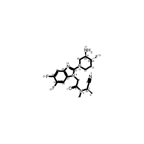 C[C@H](C#N)N(C)C(=O)Cn1c(N2CC[C@@H](F)[C@H](N)C2)nc2cc(F)c(F)cc21